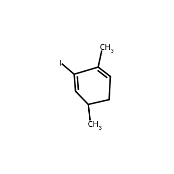 CC1=CCC(C)C=C1I